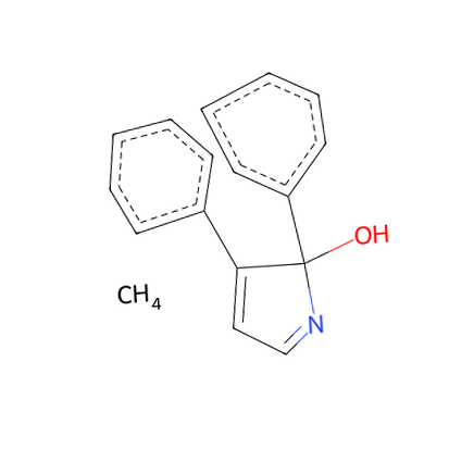 C.OC1(c2ccccc2)N=CC=C1c1ccccc1